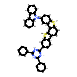 c1ccc(-c2nc(-c3ccccc3)nc(-c3ccc4c(c3)sc3c4ccc4sc5ccc(-n6c7ccccc7c7ccccc76)cc5c43)n2)cc1